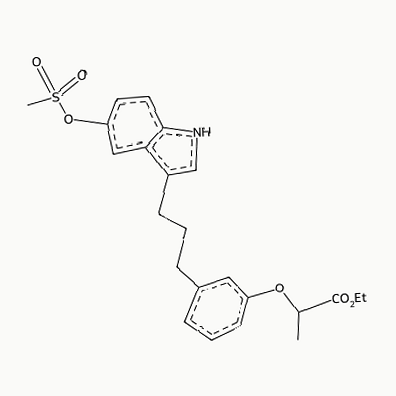 CCOC(=O)C(C)Oc1cccc(CCCc2c[nH]c3ccc(OS(C)(=O)=O)cc23)c1